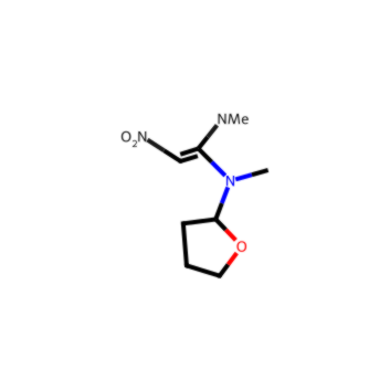 CNC(=C[N+](=O)[O-])N(C)C1CCCO1